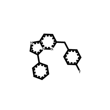 Fc1ccc(Cc2ccc3ncc(-c4c[c]ccc4)n3n2)cc1